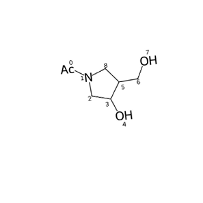 CC(=O)N1CC(O)C(CO)C1